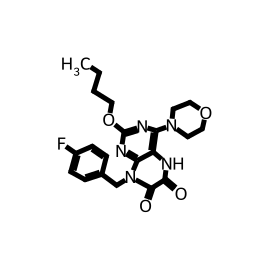 CCCCOc1nc(N2CCOCC2)c2[nH]c(=O)c(=O)n(Cc3ccc(F)cc3)c2n1